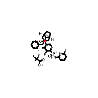 Cc1c(N(C)C2[C@@H]3CC[C@H]2CN(Cc2ccccc2)C3)cnc(S(=O)(=O)Nc2cccc(F)n2)c1F.O=C(O)C(F)(F)F